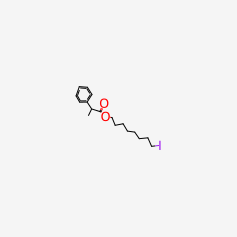 CC(C(=O)OCCCCCCCCI)c1ccccc1